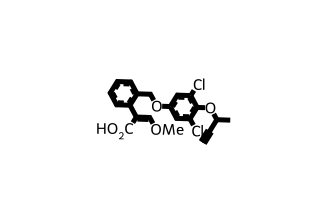 C#CC(C)Oc1c(Cl)cc(OCc2ccccc2C(=COC)C(=O)O)cc1Cl